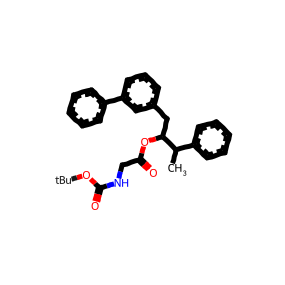 CC(c1ccccc1)C(Cc1cccc(-c2ccccc2)c1)OC(=O)CNC(=O)OC(C)(C)C